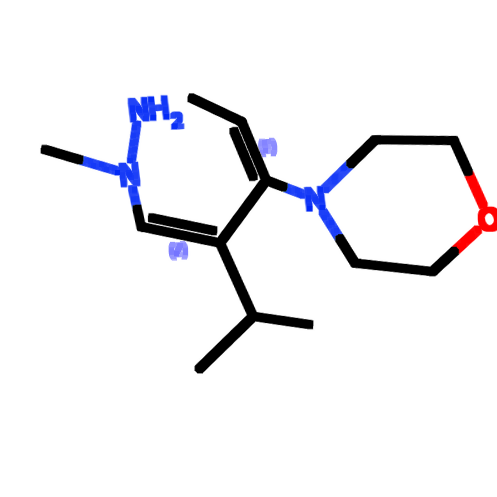 C/C=C(\C(=C/N(C)N)C(C)C)N1CCOCC1